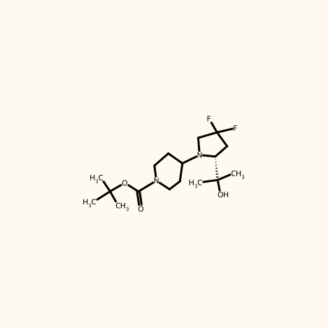 CC(C)(C)OC(=O)N1CCC(N2CC(F)(F)C[C@@H]2C(C)(C)O)CC1